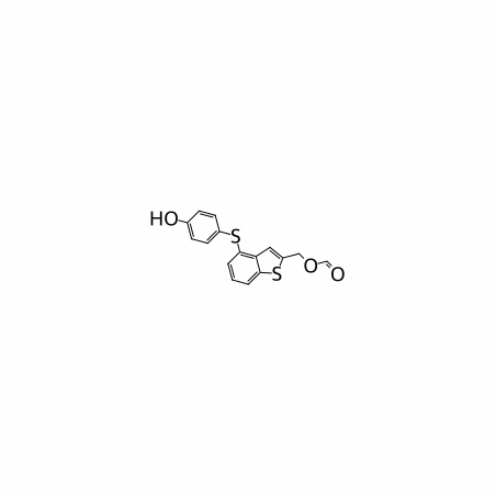 O=COCc1cc2c(Sc3ccc(O)cc3)cccc2s1